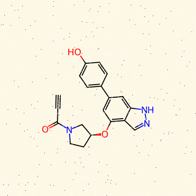 C#CC(=O)N1CC[C@H](Oc2cc(-c3ccc(O)cc3)cc3[nH]ncc23)C1